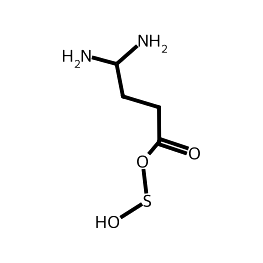 NC(N)CCC(=O)OSO